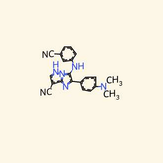 CN(C)c1ccc(-c2nc3c(C#N)c[nH]n3c2Nc2cccc(C#N)c2)cc1